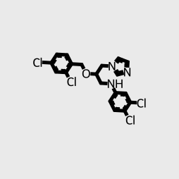 Clc1ccc(COC(CNc2ccc(Cl)c(Cl)c2)Cn2ccnc2)c(Cl)c1